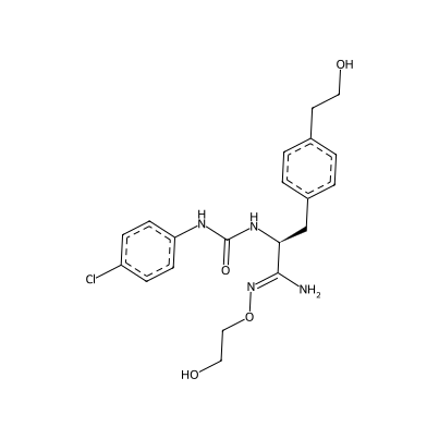 N/C(=N\OCCO)[C@H](Cc1ccc(CCO)cc1)NC(=O)Nc1ccc(Cl)cc1